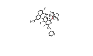 Cc1c(OCc2cccnc2)nc(N2C[C@H]3CC[C@@H](C2)N3)c2cnc(-c3cc(O)cc4ccc(F)c(C#C[Si](C(C)C)(C(C)C)C(C)C)c34)c(F)c12